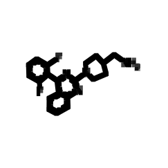 NCC1CCN(c2nc(-c3c(F)cccc3F)c3ccccc3n2)CC1